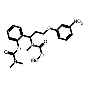 CN(C)C(=O)Oc1ccccc1C(CCOc1cccc([N+](=O)[O-])c1)N(C)C(=O)OC(C)(C)C